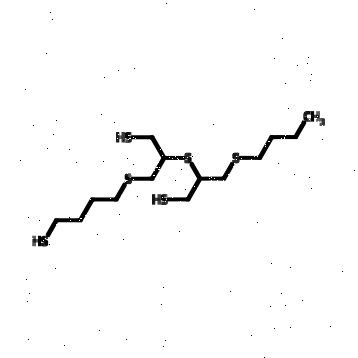 CCCCSCC(CS)SC(CS)CSCCCCS